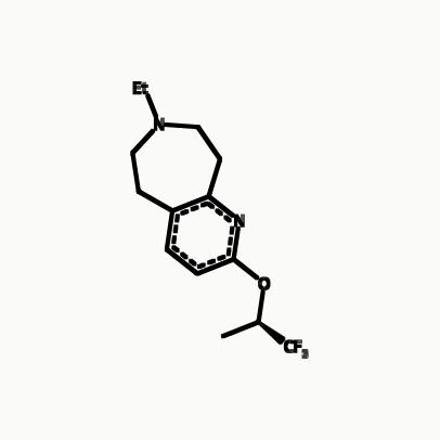 CCN1CCc2ccc(O[C@H](C)C(F)(F)F)nc2CC1